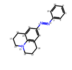 c1ccc(/N=N/c2cc3c4c(c2)CCCN4CCC3)cc1